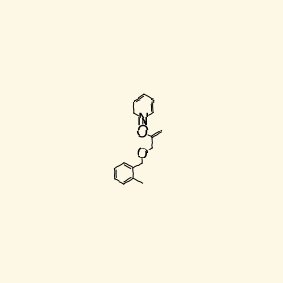 C=C(COCc1ccccc1C)ON1C=CC=CC1